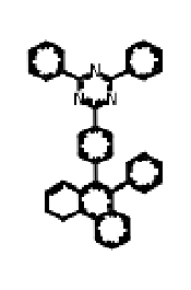 C1=Cc2c(-c3ccc(-c4nc(-c5ccccc5)nc(-c5ccccc5)n4)cc3)c(-c3ccccc3)c3ccccc3c2CC1